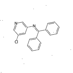 Clc1cncc(N=C(c2ccccc2)c2ccccc2)c1